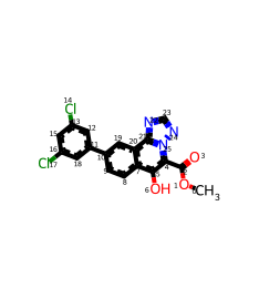 COC(=O)c1c(O)c2ccc(-c3cc(Cl)cc(Cl)c3)cc2c2ncnn12